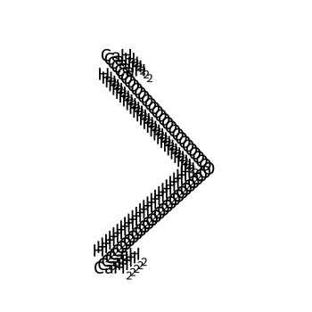 O.O.O.O.O.O.O.O.O.O.O.O.O.O.O.O.O.O.O.O.O.O.O.O.O.O.O.O.O.O.O.O.O.O.O.O.O.O.O.O.O.O.O.O.O.O.O.O.O.O.[CaH2].[CaH2].[CaH2].[CaH2].[CaH2].[CaH2].[CaH2].[CaH2].[CaH2].[CaH2]